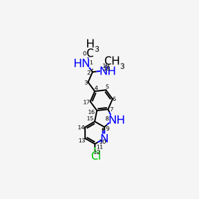 CN[C](Cc1ccc2[nH]c3nc(Cl)ccc3c2c1)NC